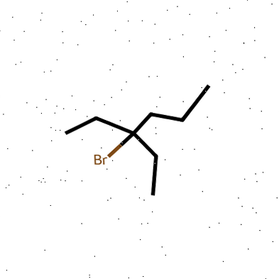 CCCC(Br)(CC)CC